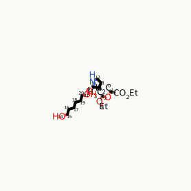 C=C(OC(C)OCC)C(=O)OCC.O=C1CCCN1.OCCCCCCO